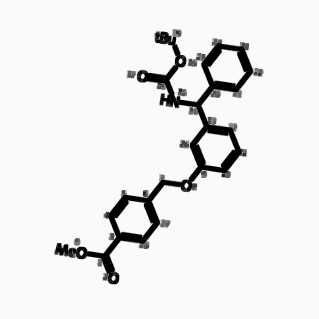 COC(=O)c1ccc(COc2cccc(C(NC(=O)OC(C)(C)C)c3ccccc3)c2)cc1